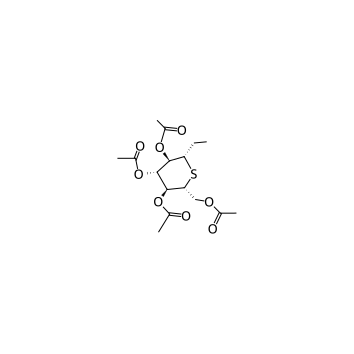 CC[C@@H]1S[C@H](COC(C)=O)[C@@H](OC(C)=O)[C@H](OC(C)=O)[C@H]1OC(C)=O